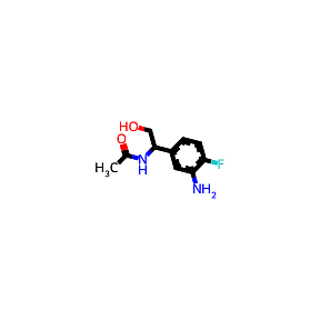 CC(=O)NC(CO)c1ccc(F)c(N)c1